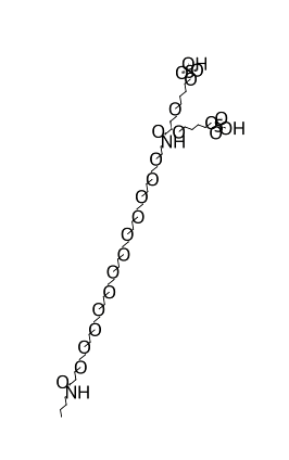 CCCCNC(=O)CCOCCOCCOCCOCCOCCOCCOCCOCCOCCOCCOCCOCCNC(=O)[C@@H](CCOCCCCOS(=O)(=O)O)OCCCCOS(=O)(=O)O